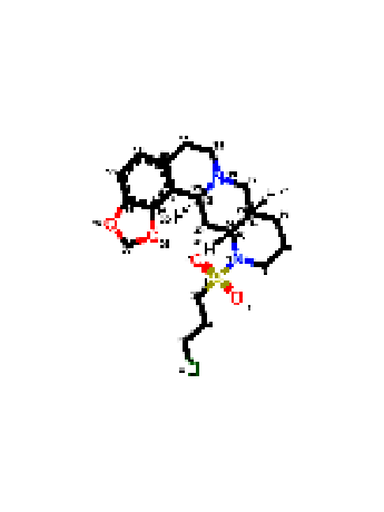 O=S(=O)(CCCCl)N1CCC[C@H]2CN3CCc4ccc5c(c4[C@@H]3C[C@H]21)OCO5